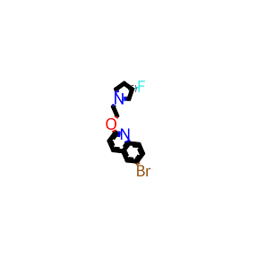 F[C@H]1CCN(CCOc2ccc3cc(Br)ccc3n2)C1